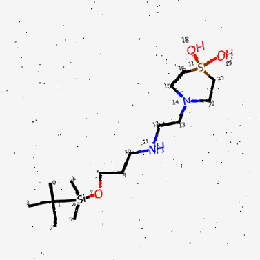 CC(C)(C)[Si](C)(C)OCCCNCCN1CCS(O)(O)CC1